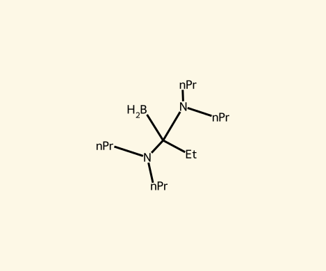 BC(CC)(N(CCC)CCC)N(CCC)CCC